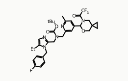 CCc1cnc(CN(Cc2cc(C3OCC4(CC4)CN3C(=O)C(F)(F)F)cc(C)n2)C(=O)OC(C)(C)C)n1Cc1ccc(F)cc1